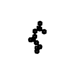 c1ccc(-c2cc(-c3ccccc3)nc(-c3cccc(-c4ccc5c(c4)c4ccccc4n5-c4ccc(-c5cccc6c5oc5ccccc56)cc4)c3)c2)cc1